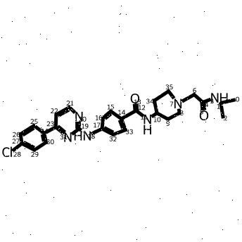 CC(C)NC(=O)CN1CCC(NC(=O)c2ccc(Nc3nccc(-c4ccc(Cl)cc4)n3)cc2)CC1